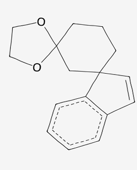 C1=CC2(CCCC3(C2)OCCO3)c2ccccc21